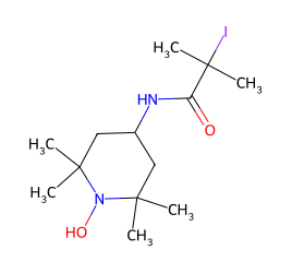 CC(C)(I)C(=O)NC1CC(C)(C)N(O)C(C)(C)C1